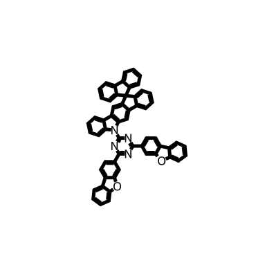 c1ccc2c(c1)-c1ccccc1C21c2ccccc2-c2cc3c(cc21)c1ccccc1n3-c1nc(-c2ccc3c(c2)oc2ccccc23)nc(-c2ccc3c(c2)oc2ccccc23)n1